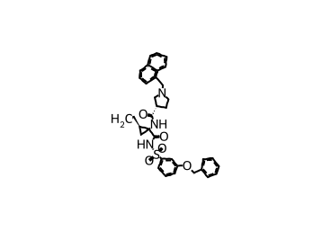 C=C[C@@H]1C[C@]1(NC(=O)[C@H]1CCN(Cc2cccc3ccccc23)C1)C(=O)NS(=O)(=O)c1cccc(OCc2ccccc2)c1